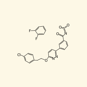 Fc1ccccc1F.O=C(N=S(=O)=O)c1cccc(-c2ccc(OCCc3ccc(Cl)cc3)nn2)c1